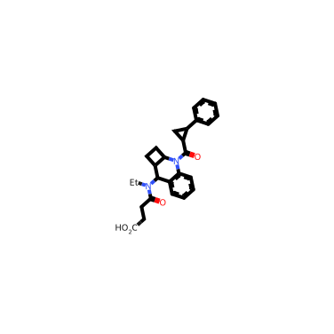 CCN(C(=O)CCC(=O)O)C1c2ccccc2N(C(=O)C2CC2c2ccccc2)C2CCC12